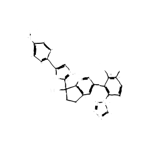 O=C(O)Nc1ccc(-c2cnc(C3(O)CCc4cc(-c5c(-n6cnnn6)ccc(Cl)c5F)cnc43)o2)cc1